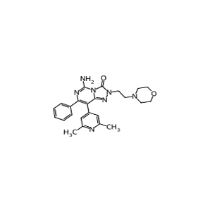 Cc1cc(-c2c(-c3ccccc3)nc(N)n3c(=O)n(CCN4CCOCC4)nc23)cc(C)n1